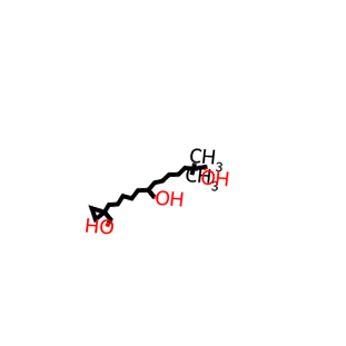 CC(C)(CO)CCCCCC(CO)CCCCCC1(CO)CC1